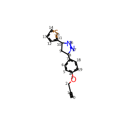 C#CCOc1ccc(C2CC(c3cccs3)N=N2)cc1